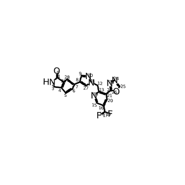 O=C1NCc2ccc(-c3cnn(Cc4ncc(C(F)F)cc4-c4nnco4)c3)cc21